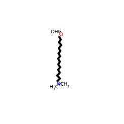 CN(C)CCCCCCCCCCCCCCCCCOC=O